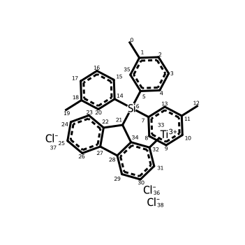 Cc1cccc([Si](c2cccc(C)c2)(c2cccc(C)c2)C2c3ccccc3-c3ccc[c]([Ti+3])c32)c1.[Cl-].[Cl-].[Cl-]